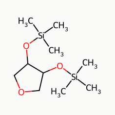 C[Si](C)(C)OC1COCC1O[Si](C)(C)C